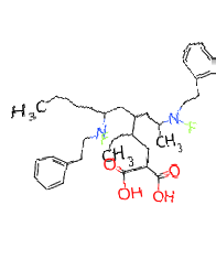 CCCCC(CC(CC(C)N(F)CCc1ccccc1)C(CC)CC(C(=O)O)C(=O)O)N(F)CCc1ccccc1